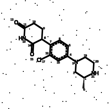 C[C@@H]1CN(c2ccc(C3CCC(=O)NC3=O)c(Cl)c2)CCN1